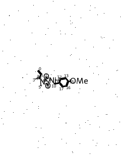 C=C[C@H](C)N(C)S(=O)(=O)NCc1ccc(OC)cc1